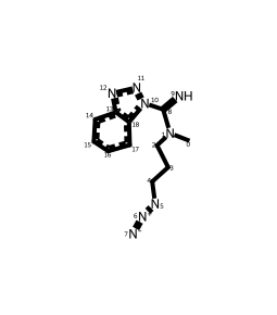 CN(CCCN=[N+]=[N-])C(=N)n1nnc2ccccc21